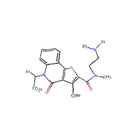 CCC(C(=O)O)n1c(=O)c2c(OC)c(C(=O)N(C)CCN(CC)CC)sc2c2ccccc21